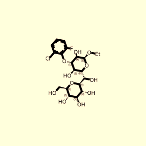 CCO[C@H]1O[C@H](C(O)[C@@H]2O[C@H](CO)[C@@H](O)[C@H](O)[C@H]2O)[C@@H](O)[C@H](Oc2c(F)cccc2Cl)[C@H]1O